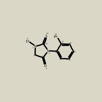 CCN1CC(=O)N(c2ccccc2C(C)C)C1=S